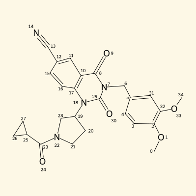 COc1ccc(Cn2c(=O)c3cc(C#N)ccc3n(C3CCN(C(=O)C4CC4)C3)c2=O)cc1OC